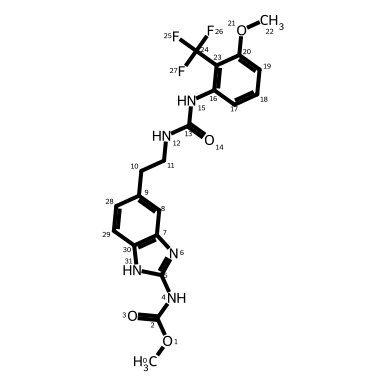 COC(=O)Nc1nc2cc(CCNC(=O)Nc3cccc(OC)c3C(F)(F)F)ccc2[nH]1